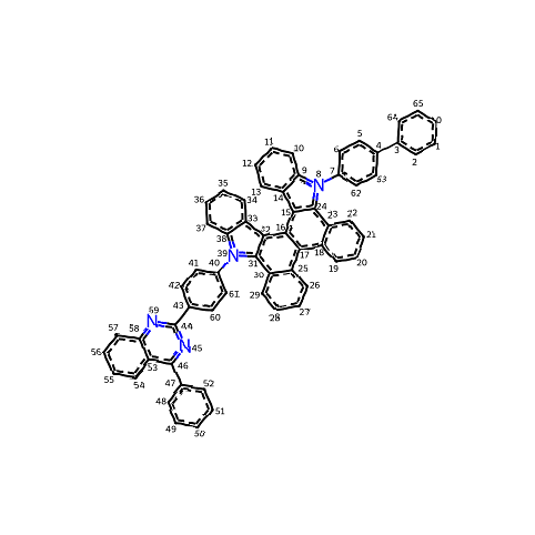 c1ccc(-c2ccc(-n3c4ccccc4c4c5c(c6ccccc6c43)c3ccccc3c3c5c4ccccc4n3-c3ccc(-c4nc(-c5ccccc5)c5ccccc5n4)cc3)cc2)cc1